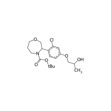 CC(O)COc1ccc(C2COCCCN2C(=O)OC(C)(C)C)c(Cl)c1